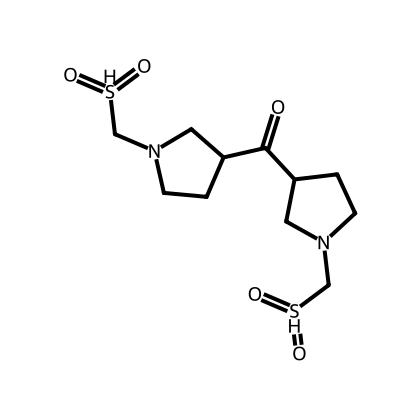 O=C(C1CCN(C[SH](=O)=O)C1)C1CCN(C[SH](=O)=O)C1